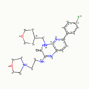 O=C/C(=N\c1ccc(-c2ccc(F)cc2)nc1NCC1CCOCC1)NCCN1CCOCC1